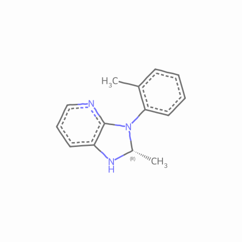 Cc1ccccc1N1c2ncccc2N[C@H]1C